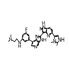 CC1NC=C(c2ccc3[nH]nc(-c4nc5c(-c6cc(F)cc(NCCN(C)C)c6)cncc5[nH]4)c3n2)N1C